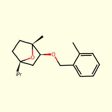 Cc1ccccc1CO[C@H]1C[C@]2(C(C)C)CC[C@@]1(C)O2